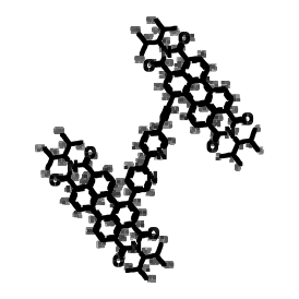 CC(C)C(C(C)C)N1C(=O)c2ccc3c4ccc5c6c(cc(C#Cc7ccc(-c8ccc(-c9cc%10c%11c(ccc%12c%13ccc%14c%15c(ccc(c9c%11%12)c%15%13)C(=O)N(C(C(C)C)C(C)C)C%14=O)C(=O)N(C(C(C)C)C(C)C)C%10=O)cn8)nc7)c(c7ccc(c2c37)C1=O)c64)C(=O)N(C(C(C)C)C(C)C)C5=O